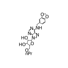 CCCOCC1OC(n2cnc3c(NCc4ccc5c(c4)OCO5)ncnc32)C(O)C1O